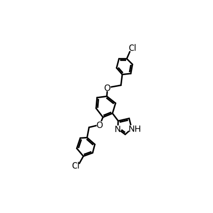 Clc1ccc(COc2ccc(OCc3ccc(Cl)cc3)c(-c3c[nH]cn3)c2)cc1